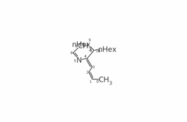 C\C=C/C=C(\N=C/C)C(CCCCCC)CCCCCC